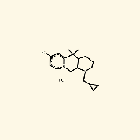 CC1(C)c2cc(O)ccc2CC2C1CCCN2CC1CC1.Cl